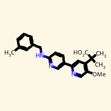 COc1cnc(-c2ccc(NCc3cccc(C)c3)nc2)cc1C(C)(C)C(=O)O